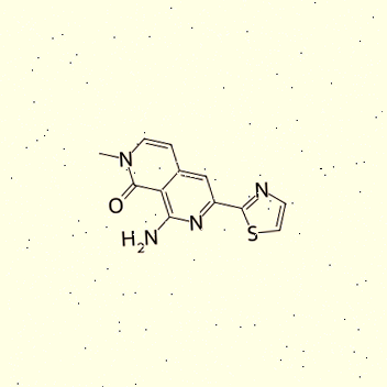 Cn1ccc2cc(-c3nccs3)nc(N)c2c1=O